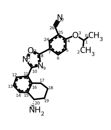 CC(C)Oc1ccc(-c2nc(-c3cccc4c3CCC[C@@H]4N)no2)cc1C#N